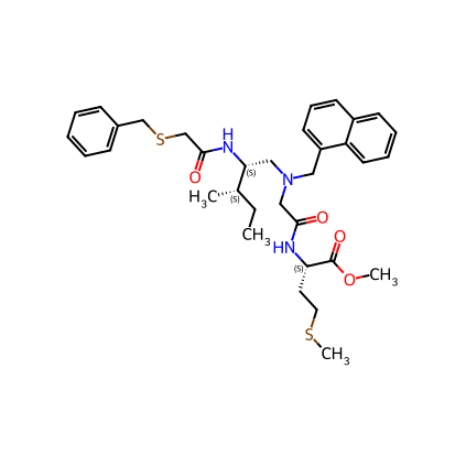 CC[C@H](C)[C@@H](CN(CC(=O)N[C@@H](CCSC)C(=O)OC)Cc1cccc2ccccc12)NC(=O)CSCc1ccccc1